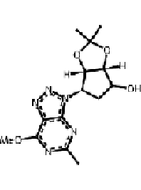 COc1nc(C)nc2c1nnn2[C@@H]1C[C@H](O)[C@H]2OC(C)(C)O[C@H]21